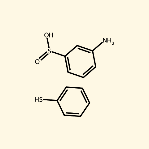 Nc1cccc(S(=O)O)c1.Sc1ccccc1